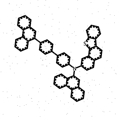 c1ccc2c(c1)cc(-c1ccc(-c3ccc(N(c4ccc5ccc6c7ccccc7sc6c5c4)c4cc5ccccc5c5ccccc45)cc3)cc1)c1ccccc12